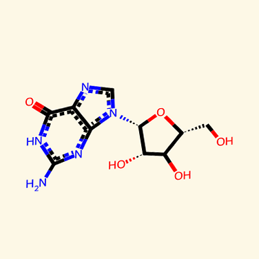 Nc1nc2c(ncn2[C@@H]2O[C@H](CO)C(O)[C@@H]2O)c(=O)[nH]1